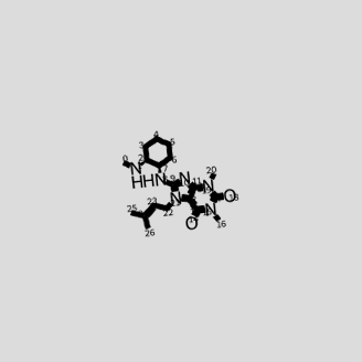 CN[C@H]1CCCC[C@H]1Nc1nc2c(c(=O)n(C)c(=O)n2C)n1CC=C(C)C